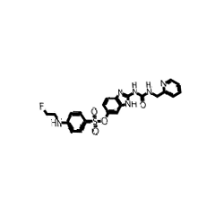 O=C(NCc1ccccn1)Nc1nc2ccc(OS(=O)(=O)c3ccc(NCCF)cc3)cc2[nH]1